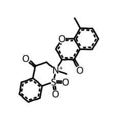 Cc1cccc2c(=O)c([N+]3(C)CC(=O)c4ccccc4S3(=O)=O)coc12